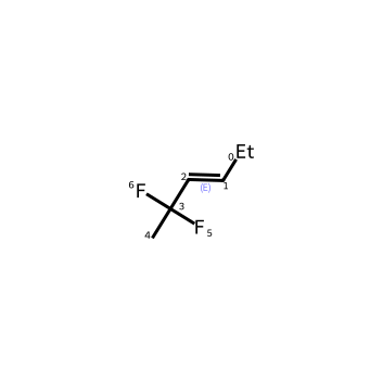 CC/C=C/C(C)(F)F